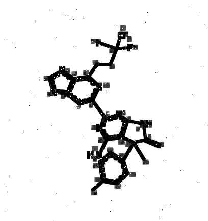 C=C1Nc2nc(-c3cn4ncnc4c(CCC(F)(F)C(F)(F)F)n3)nc(N)c2C1(C)c1ccc(C)cc1